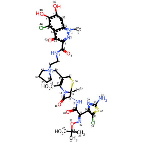 CCn1nc(C(=O)NCC[N+]2(CC3=C(C(=O)O)N4C(=O)[C@@H](NC(=O)/C(=N\OC(C)(C)C(=O)O)c5nc(N)sc5Cl)[C@H]4SC3)CCCC2)c(=O)c2c(Cl)c(O)c(O)cc21